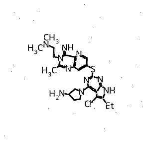 CCc1[nH]c2nc(Sc3cnc4c(=N)n(CCN(C)C)c(C)nc4c3)nc(N3CCC(N)C3)c2c1Cl